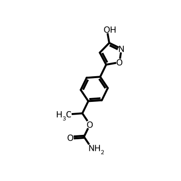 CC(OC(N)=O)c1ccc(-c2cc(O)no2)cc1